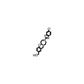 OCc1ccc(Cl)c(CN2CCCN(c3nc4ccc(Cl)cc4s3)CC2)c1